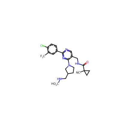 N#CC1(C(=O)NCc2cnc(-c3ccc(Cl)c(C(F)(F)F)c3)nc2N2CCC(CNC(=O)O)C2)CC1